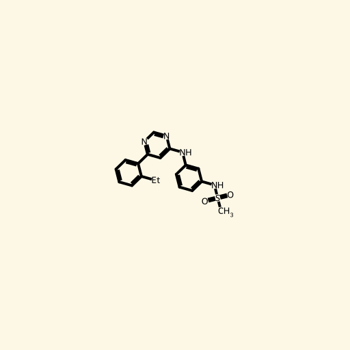 CCc1ccccc1-c1cc(Nc2cccc(NS(C)(=O)=O)c2)ncn1